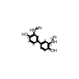 CC(C)Nc1cc(-c2ccc(O)c(NC(C)C)c2)ccc1O